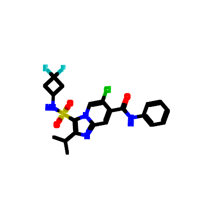 CC(C)c1nc2cc(C(=O)Nc3ccccc3)c(Cl)cn2c1S(=O)(=O)NC1CC(F)(F)C1